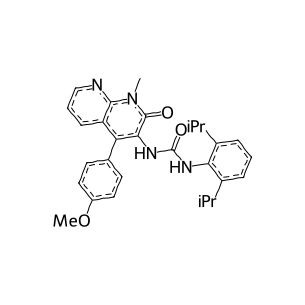 COc1ccc(-c2c(NC(=O)Nc3c(C(C)C)cccc3C(C)C)c(=O)n(C)c3ncccc23)cc1